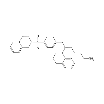 NCCCCN(Cc1ccc(S(=O)(=O)N2CCc3ccccc3C2)cc1)C1CCCc2cccnc21